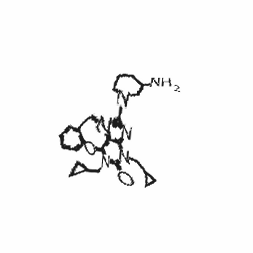 NC1CCCN(c2nc3c(c(=O)n(CC4CC4)c(=O)n3CC3CC3)n2Cc2ccccc2)C1